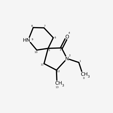 CCN1C(=O)C2(CCCNC2)CC1C